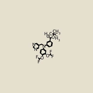 CC(C)(C)OC(=O)c1cccc(N(Cc2cncnc2)c2ccc(OC(F)F)c(OC(F)F)c2)c1